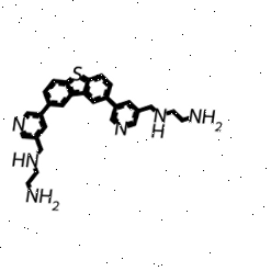 NCCNCc1cncc(-c2ccc3sc4ccc(-c5cncc(CNCCN)c5)cc4c3c2)c1